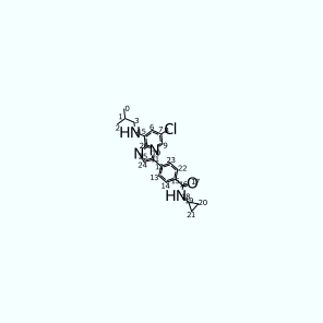 CC(C)CNc1cc(Cl)cn2c(-c3ccc(C(=O)NC4CC4)cc3)cnc12